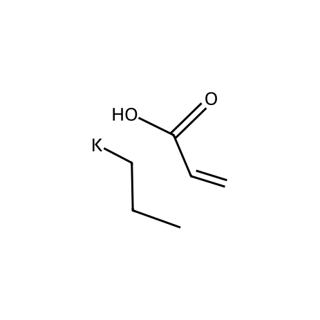 C=CC(=O)O.CC[CH2][K]